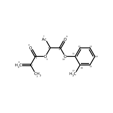 C=C(C)C(=O)OC(C(C)=O)C(=O)Oc1ccccc1C